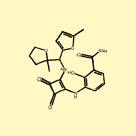 CNC(=O)c1cccc(Nc2c(NC(c3ccc(C)o3)C3(C)CCCO3)c(=O)c2=O)c1O